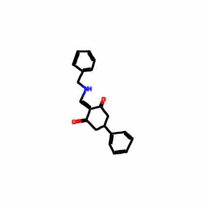 O=C1CC(c2ccccc2)CC(=O)C1=CNCc1ccccc1